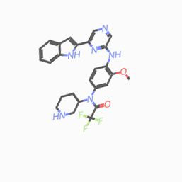 COc1cc(N(C(=O)C(F)(F)F)C2CCCNC2)ccc1Nc1cncc(-c2cc3ccccc3[nH]2)n1